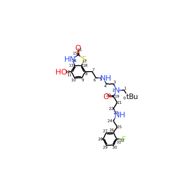 CC(C)(C)CN(CCNCCc1ccc(O)c2[nH]c(=O)sc12)C(=O)CCNCCc1ccccc1F